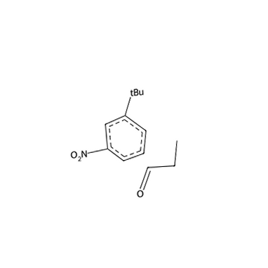 CC(C)(C)c1cccc([N+](=O)[O-])c1.CCC=O